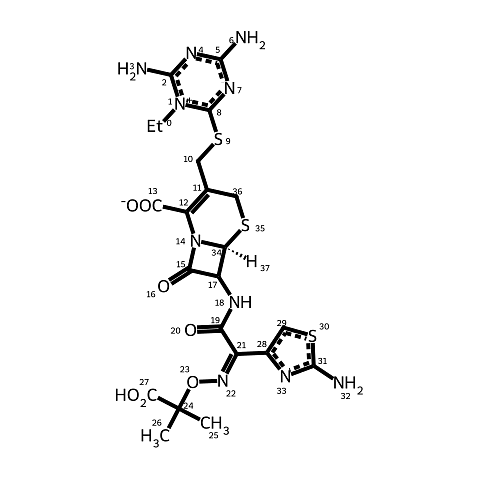 CC[n+]1c(N)nc(N)nc1SCC1=C(C(=O)[O-])N2C(=O)C(NC(=O)/C(=N\OC(C)(C)C(=O)O)c3csc(N)n3)[C@@H]2SC1